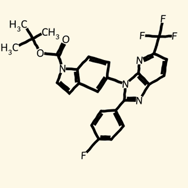 CC(C)(C)OC(=O)n1ccc2cc(-n3c(-c4ccc(F)cc4)nc4ccc(C(F)(F)F)nc43)ccc21